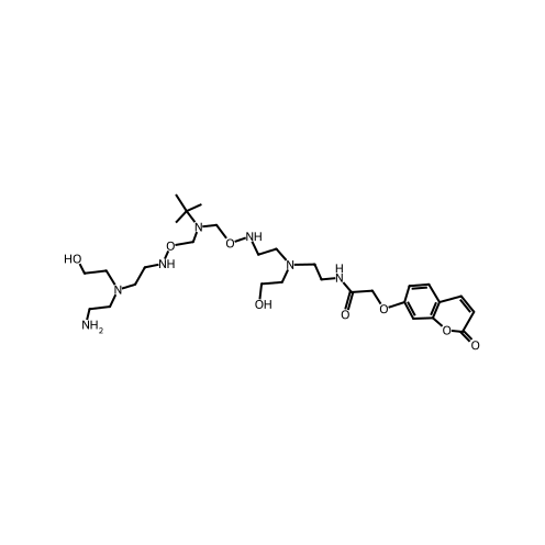 CC(C)(C)N(CONCCN(CCN)CCO)CONCCN(CCO)CCNC(=O)COc1ccc2ccc(=O)oc2c1